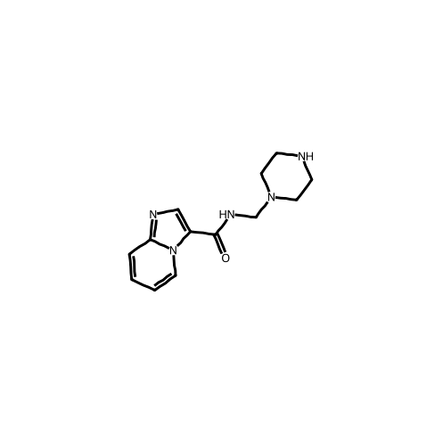 O=C(NCN1CCNCC1)c1cnc2ccccn12